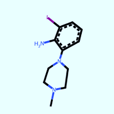 CN1CCN(c2cccc(I)c2N)CC1